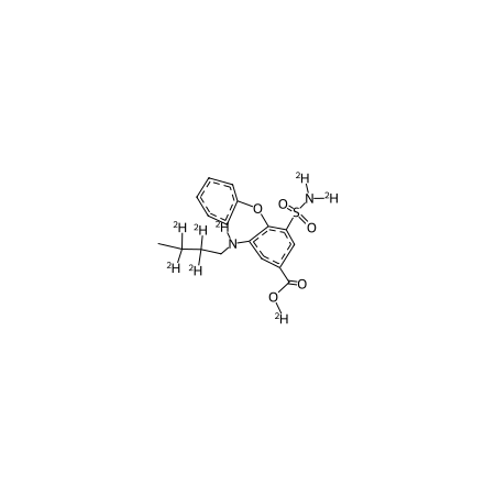 [2H]OC(=O)c1cc(N([2H])CC([2H])([2H])C([2H])([2H])C)c(Oc2ccccc2)c(S(=O)(=O)N([2H])[2H])c1